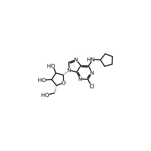 OC[C@H]1O[C@@H](n2cnc3c(NC4CCCC4)nc(Cl)nc32)C(O)C1O